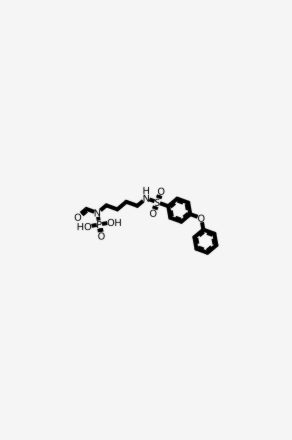 O=CN(CCCCNS(=O)(=O)c1ccc(Oc2ccccc2)cc1)P(=O)(O)O